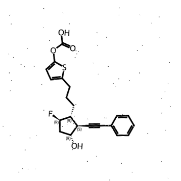 O=C(O)Oc1ccc(CCC[C@@H]2[C@@H](C#Cc3ccccc3)[C@H](O)C[C@H]2F)s1